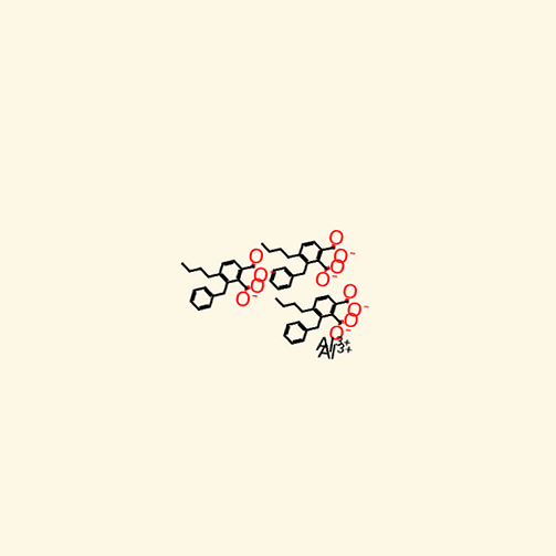 CCCCc1ccc(C(=O)[O-])c(C(=O)[O-])c1Cc1ccccc1.CCCCc1ccc(C(=O)[O-])c(C(=O)[O-])c1Cc1ccccc1.CCCCc1ccc(C(=O)[O-])c(C(=O)[O-])c1Cc1ccccc1.[Al+3].[Al+3]